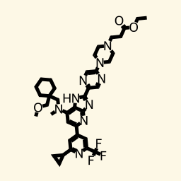 CCOC(=O)CCN1CCN(c2cnc(-c3nc4nc(-c5cc(C6CC6)nc(C(F)(F)F)c5)cc(N(C)CC5(COC)CCCCC5)c4[nH]3)cn2)CC1